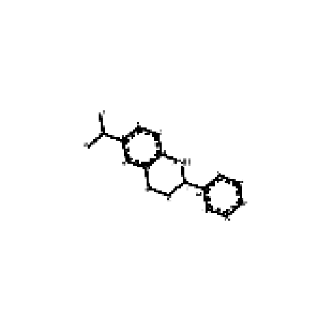 CC(C)c1ccc2c(c1)CCC(c1ccccc1)N2